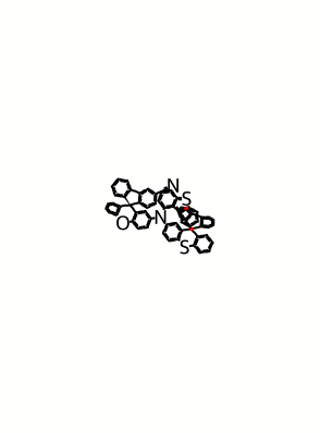 N#Cc1ccc2c(c1)-c1ccccc1[C@@]21c2ccccc2Oc2ccc(N(c3ccc4c(c3)C3(c5ccccc5S4)c4ccccc4-c4ccccc43)c3cccc4sc5ccccc5c34)cc21